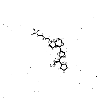 C[Si](C)(C)CCOCn1ccc2c(-c3cnc(C(=CC#N)C4CCCC4)o3)ncnc21